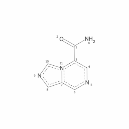 NC(=O)c1cncc2cncn12